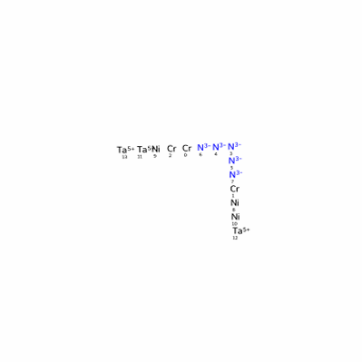 [Cr].[Cr].[Cr].[N-3].[N-3].[N-3].[N-3].[N-3].[Ni].[Ni].[Ni].[Ta+5].[Ta+5].[Ta+5]